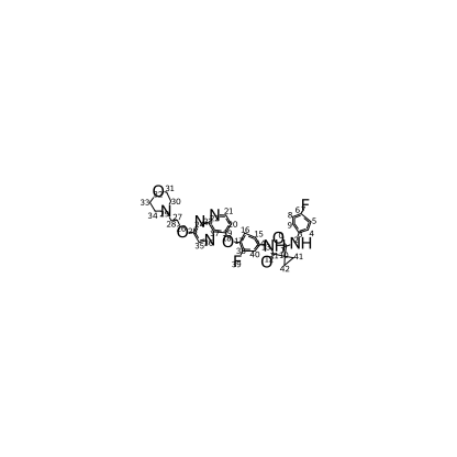 O=C(Nc1ccc(F)cc1)C1(C(=O)Nc2ccc(Oc3ccnc4nc(OCCN5CCOCC5)cnc34)c(F)c2)CC1